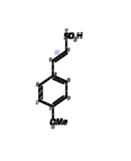 COc1ccc(/C=C/S(=O)(=O)O)cc1